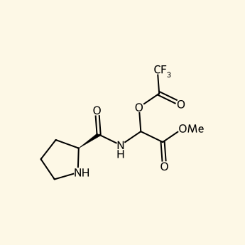 COC(=O)C(NC(=O)[C@@H]1CCCN1)OC(=O)C(F)(F)F